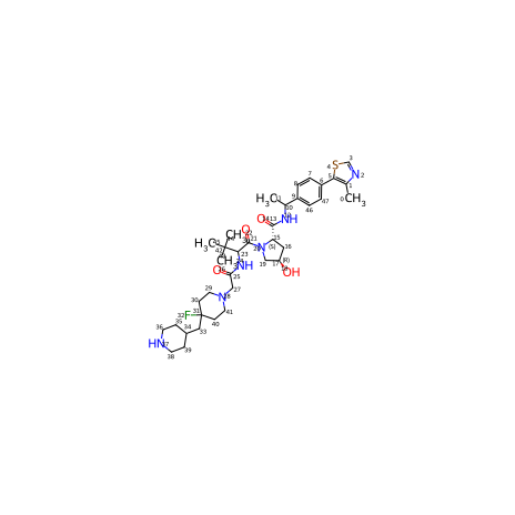 Cc1ncsc1-c1ccc(C(C)NC(=O)[C@@H]2C[C@@H](O)CN2C(=O)C(NC(=O)CN2CCC(F)(CC3CCNCC3)CC2)C(C)(C)C)cc1